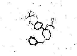 CC(=O)OC1(c2ccc(OC(C)(C)C)cc2)CN(Cc2ccccc2)CCS1